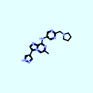 Cc1cn2c(-c3cn[nH]c3)cnc2c(Nc2cnc(CN3CCCC3)nc2)n1